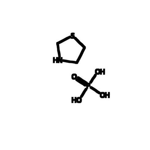 C1CSCN1.O=P(O)(O)O